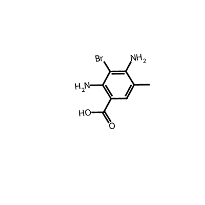 Cc1cc(C(=O)O)c(N)c(Br)c1N